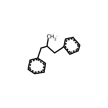 [CH2]C(Cc1ccccc1)Cc1ccccc1